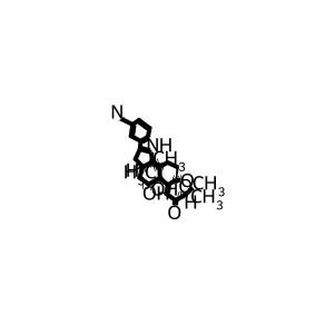 CC1(C)O[C@@]23CC[C@]4(C)[C@@]5(C)c6[nH]c7ccc(C#N)cc7c6C[C@@H]5C[C@H](O)[C@@]4(O)C2=CC(=O)[C@@H]1O3